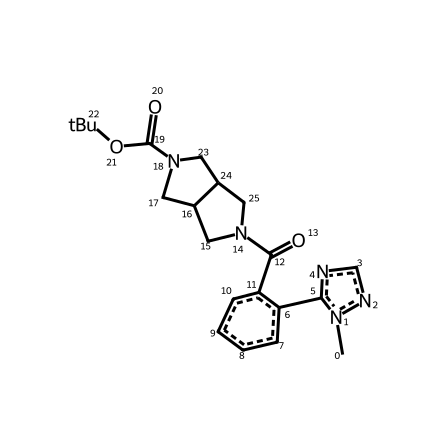 Cn1ncnc1-c1ccccc1C(=O)N1CC2CN(C(=O)OC(C)(C)C)CC2C1